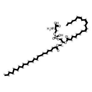 CCCCC/C=C\C/C=C\C/C=C\CCCCCCC(=O)O[C@H](COC(=O)CCCCCCCCCCCCCCCCCCCCC)COP(=O)(O)OC[C@H](N)C(=O)O